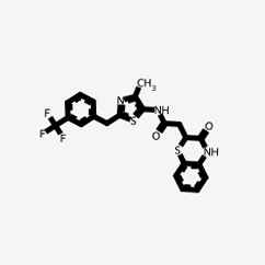 Cc1nc(Cc2cccc(C(F)(F)F)c2)sc1NC(=O)CC1Sc2ccccc2NC1=O